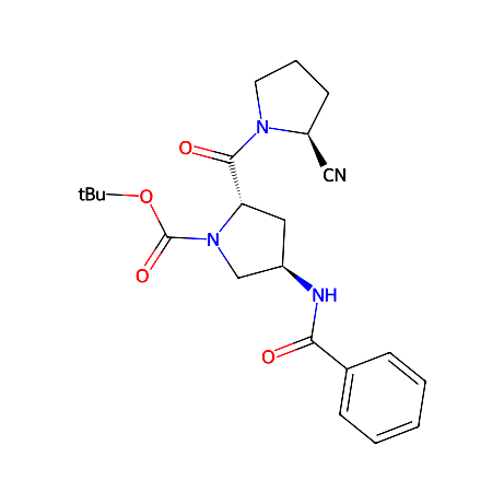 CC(C)(C)OC(=O)N1C[C@H](NC(=O)c2ccccc2)C[C@H]1C(=O)N1CCC[C@H]1C#N